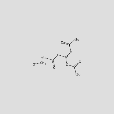 CC(C)(C)C(=O)[O][Ti+]([O]C(=O)C(C)(C)C)[O]C(=O)C(C)(C)C.C[O-]